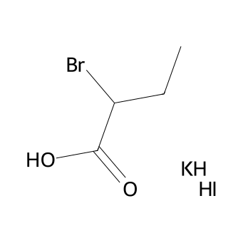 CCC(Br)C(=O)O.I.[KH]